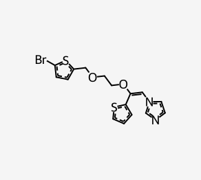 Brc1ccc(COCCOC(=Cn2ccnc2)c2cccs2)s1